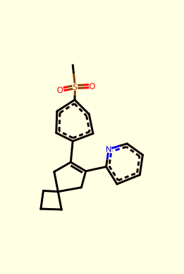 CS(=O)(=O)c1ccc(C2=C(c3ccccn3)CC3(CCC3)C2)cc1